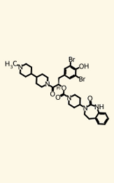 CN1CCC(C2CCN(C(=O)[C@@H](Cc3cc(Br)c(O)c(Br)c3)OC(=O)N3CCC(N4CCc5ccccc5NC4=O)CC3)CC2)CC1